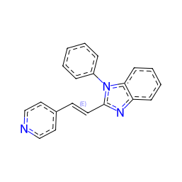 C(=C\c1nc2ccccc2n1-c1ccccc1)/c1ccncc1